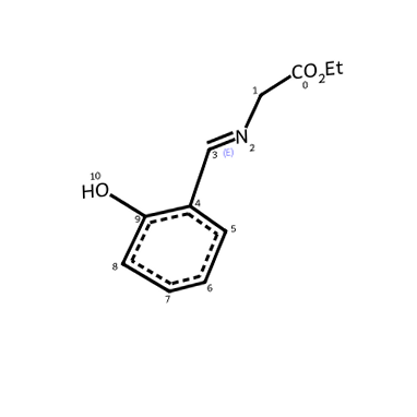 CCOC(=O)C/N=C/c1ccccc1O